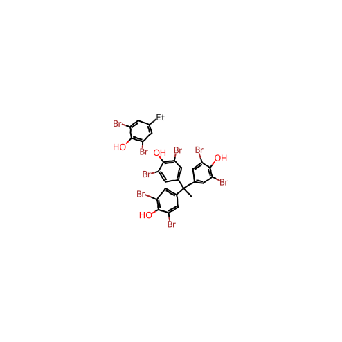 CC(c1cc(Br)c(O)c(Br)c1)(c1cc(Br)c(O)c(Br)c1)c1cc(Br)c(O)c(Br)c1.CCc1cc(Br)c(O)c(Br)c1